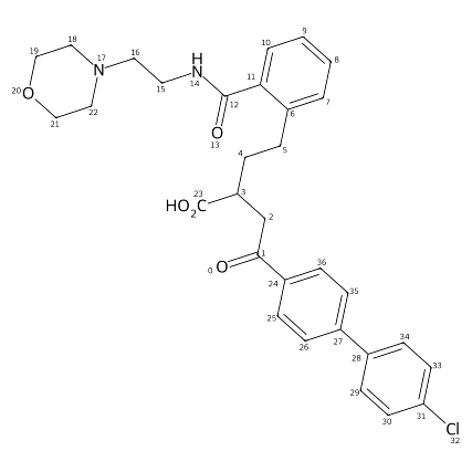 O=C(CC(CCc1ccccc1C(=O)NCCN1CCOCC1)C(=O)O)c1ccc(-c2ccc(Cl)cc2)cc1